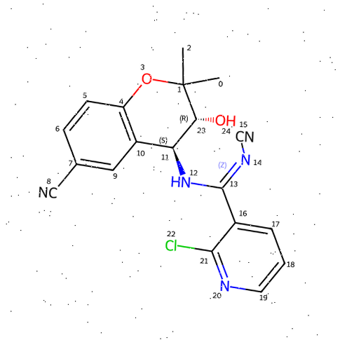 CC1(C)Oc2ccc(C#N)cc2[C@H](N/C(=N\C#N)c2cccnc2Cl)[C@H]1O